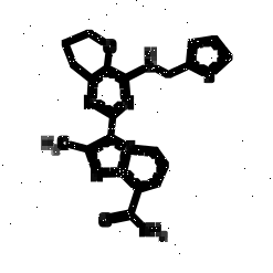 Cc1nc2c(C(N)=O)cccn2c1-c1nc2c(c(NCc3cccs3)n1)OCCC2